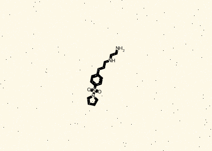 NCCNCCCc1ccc(S(=O)(=O)N2CCCC2)cc1